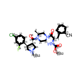 C[C@H]1CN(C(=O)[C@H](Cc2ccccc2C#N)NC(=O)OC(C)(C)C)CCN1C(=O)[C@@H]1CN(C(C)(C)C)C[C@H]1c1ccc(Cl)cc1F